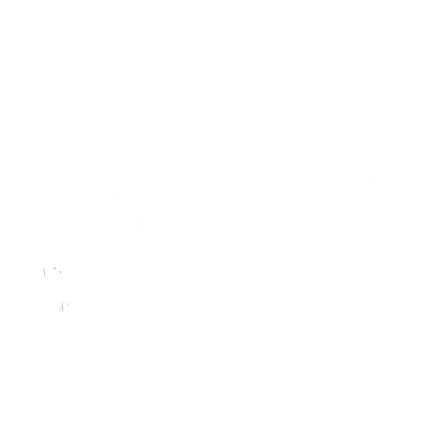 CC(C)NCCC(F)(F)COCCOCCO